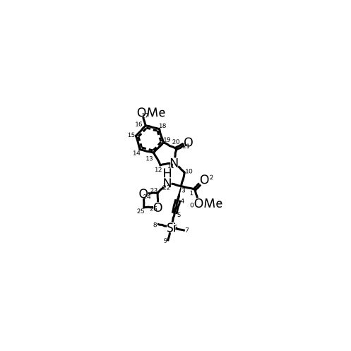 COC(=O)[C@@](C#C[Si](C)(C)C)(CN1Cc2ccc(OC)cc2C1=O)NC1OCO1